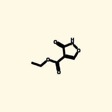 CCOC(=O)c1co[nH]c1=O